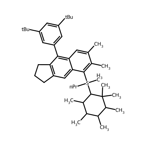 CCCS(C)(c1c(C)c(C)cc2c(-c3cc(C(C)(C)C)cc(C(C)(C)C)c3)c3c(cc12)CCC3)C1C(C)C(C)C(C)C(C)C1(C)C